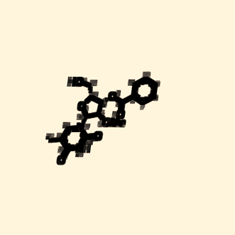 CO[C@@H]1[C@@H](OC(=O)c2ccccc2)[C@@H](CO)O[C@H]1n1cc(C)c(=O)[nH]c1=O